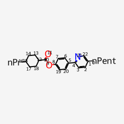 CCCCCc1ccc(-c2ccc(OC(=O)C3CCC(CCC)CC3)cc2)nc1